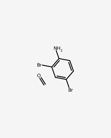 C=O.Nc1ccc(Br)cc1Br